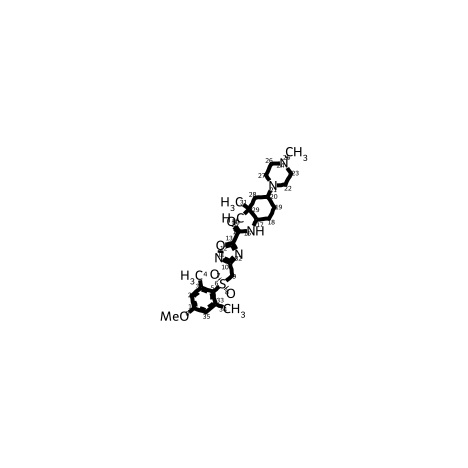 COc1cc(C)c(S(=O)(=O)Cc2noc(C(=O)NC3CCC(N4CCN(C)CC4)CC3(C)C)n2)c(C)c1